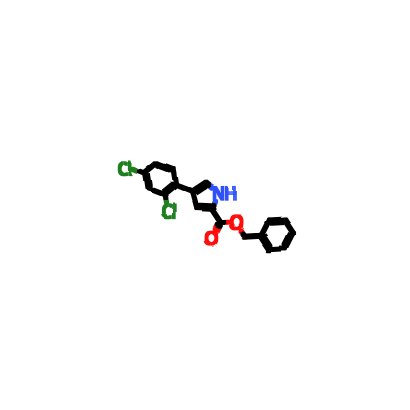 O=C(OCc1ccccc1)c1cc(-c2ccc(Cl)cc2Cl)c[nH]1